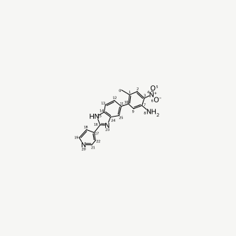 Cc1cc([N+](=O)[O-])c(N)cc1-c1ccc2[nH]c(-c3ccncc3)nc2c1